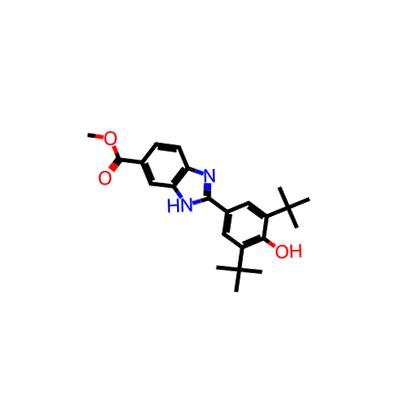 COC(=O)c1ccc2nc(-c3cc(C(C)(C)C)c(O)c(C(C)(C)C)c3)[nH]c2c1